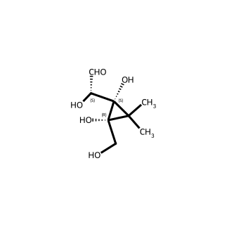 CC1(C)[C@](O)([C@H](O)C=O)[C@]1(O)CO